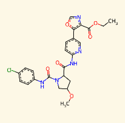 CCOC(=O)c1ncoc1-c1ccc(NC(=O)C2CC(OC)CN2C(=O)Nc2ccc(Cl)cc2)nc1